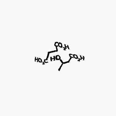 C[C@@H](O)CC(=O)O.O=C(O)CCC(=O)O